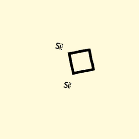 C1CCC1.[Si].[Si]